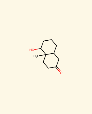 CC12CCC(=O)CC1CCCC2O